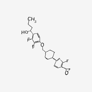 CCCC(O)c1ccc(OCC2CCC(c3ccc(C4CO4)c(F)c3)CC2)c(F)c1F